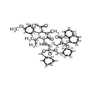 COc1ccc(C[C@@H](C(N)=O)N(C)C(=O)C(CC(C)C)N[C@H](CCN2C(=O)c3cccc4cccc(c34)C2=O)P(=O)(OCc2ccccc2)OCc2ccccc2)cc1